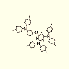 Cc1ccc(N(c2ccc(C)cc2)c2cccc(Oc3nc(N(c4ccc(C)cc4)c4ccc(C)cc4)nc(N(c4ccc(C)cc4)c4ccc(C)cc4)n3)c2)cc1